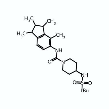 Cc1c(NC(=O)N2CCC(NS(=O)(=O)C(C)(C)C)CC2)ccc2c1C(C)C(C)C2C